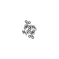 CC1(C)c2cc3c(cc2-c2c1cc(-c1cc4ccccc4c4ccccc14)c1oc4ccccc4c21)C(C)(C)c1cc(-c2cc4ccccc4c4ccccc24)c2oc4ccccc4c2c1-3